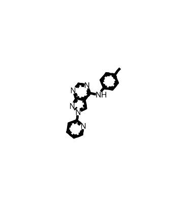 Cc1ccc(Nc2ncnc3nn(-c4ccccn4)cc23)cc1